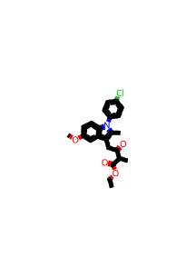 CCOC(=O)C(C)C(=O)Cc1c(C)n(-c2ccc(Cl)cc2)c2ccc(OC)cc12